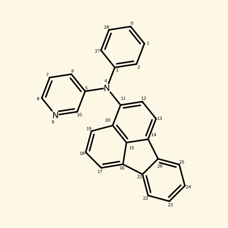 c1ccc(N(c2cccnc2)c2ccc3c4c(cccc24)-c2ccccc2-3)cc1